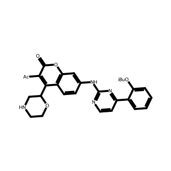 CC(=O)c1c(C2CNCCO2)c2ccc(Nc3nccc(-c4ccccc4OCC(C)C)n3)cc2oc1=O